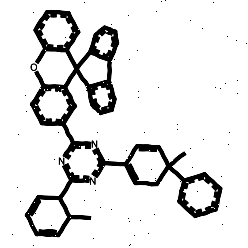 CC1C=CC=CC1c1nc(C2=CCC(C)(c3ccccc3)C=C2)nc(-c2ccc3c(c2)C2(c4ccccc4O3)c3ccccc3-c3ccccc32)n1